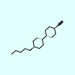 C#C[C@H]1CC[C@H]([C@H]2CC[C@H](CCCCC)CC2)CC1